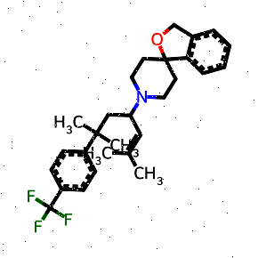 CC(C)=CC(CC(C)(C)c1ccc(C(F)(F)F)cc1)N1CCC2(CC1)OCc1ccccc12